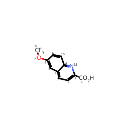 O=C(O)c1ccc2cc(OC(F)(F)F)ccc2n1